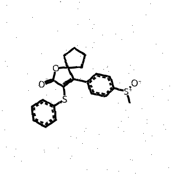 C[S+]([O-])c1ccc(C2=C(Sc3ccccc3)C(=O)OC23CCCC3)cc1